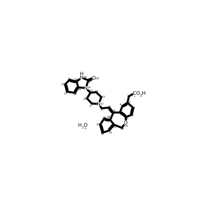 O.O=C(O)Cc1ccc2c(c1)/C(=C/CN1CCC(n3c(=O)[nH]c4ccccc43)CC1)c1ccccc1CO2